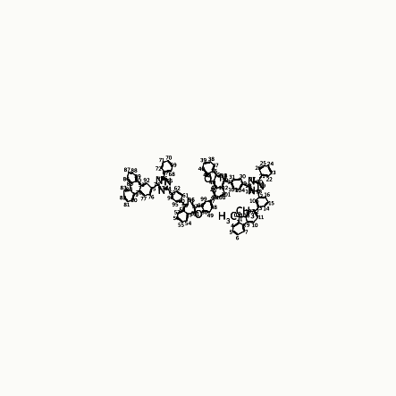 CC1(C)c2ccccc2-c2ccc(-c3cccc(-c4nc(-c5ccccc5)nc(-c5ccc(-c6nc7c8ccccc8oc7c7cc(-c8ccc9oc%10c%11ccccc%11c(-c%11ccc(-c%12nc(-c%13ccccc%13)nc(-c%13ccc%14c%15ccccc%15c%15ccccc%15c%14c%13)n%12)cc%11)nc%10c9c8)ccc67)cc5)n4)c3)cc21